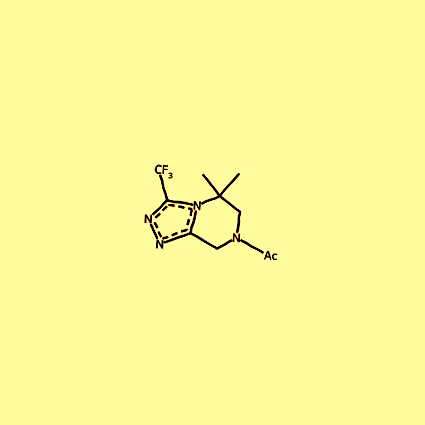 CC(=O)N1Cc2nnc(C(F)(F)F)n2C(C)(C)C1